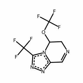 FC(F)(F)OC1CN=Cc2nnc(C(F)(F)F)n21